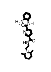 CC1CCCC(C)N1CCNC(=O)c1ccc(C(=O)Nc2ccccc2N)nc1